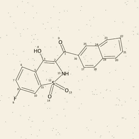 O=C(C1=C(O)c2ccc(F)cc2S(=O)(=O)N1)c1ccc2ccccc2c1